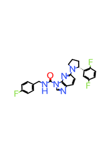 O=C(NCc1ccc(F)cc1)n1cnc2ccc(N3CCC[C@@H]3c3cc(F)ccc3F)nc21